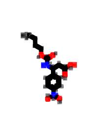 CCCCOC(=O)NC(CC(=O)O)c1ccc([N+](=O)[O-])cc1